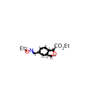 CCON=Cc1ccc2c(C(=O)OCC)occ2c1